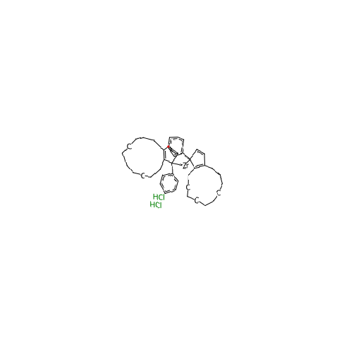 C1=C[C]([Zr][C]2(c3ccccc3)C=CC3=C2CCCCCCCCCC3)(c2ccccc2)C2=C1CCCCCCCCCC2.Cl.Cl